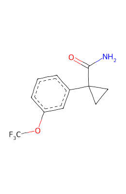 NC(=O)C1(c2cccc(OC(F)(F)F)c2)CC1